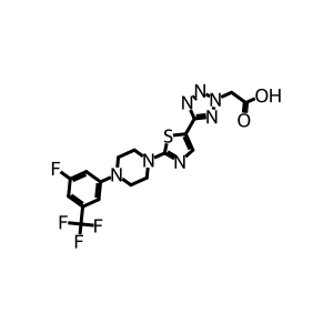 O=C(O)Cn1nnc(-c2cnc(N3CCN(c4cc(F)cc(C(F)(F)F)c4)CC3)s2)n1